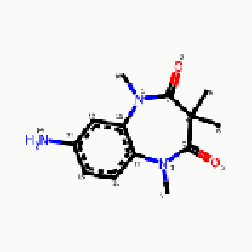 CN1C(=O)C(C)(C)C(=O)N(C)c2cc(N)ccc21